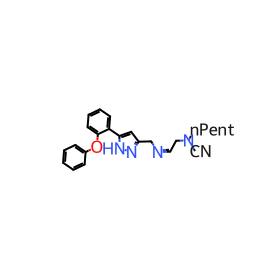 CCCCCN(C#N)C/C=N\Cc1cc(-c2ccccc2Oc2ccccc2)[nH]n1